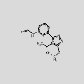 CSc1nnc(-c2cccc(NC=O)n2)n1C(C)C